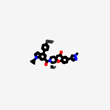 Cn1cc(-c2ccc3c(c2)C(=O)CC2(CCN(C(=O)c4cc(-c5ccc(C(=O)[O-])cc5)c5ccn(C6CC6)c5c4)CC2)O3)cn1.[Na+]